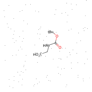 CC(C)(C)OC(=O)[AsH]CC(=O)O